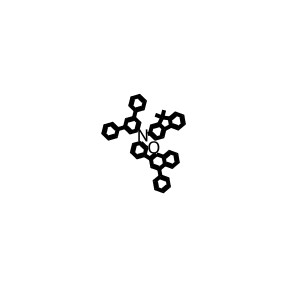 CC1(C)c2ccccc2-c2ccc(N(c3cc(-c4ccccc4)cc(-c4ccccc4)c3)c3cccc4c3oc3c5ccccc5c(-c5ccccc5)cc43)cc21